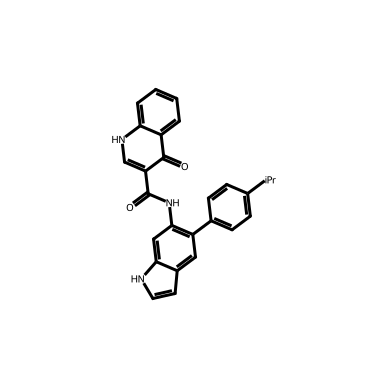 CC(C)c1ccc(-c2cc3cc[nH]c3cc2NC(=O)c2c[nH]c3ccccc3c2=O)cc1